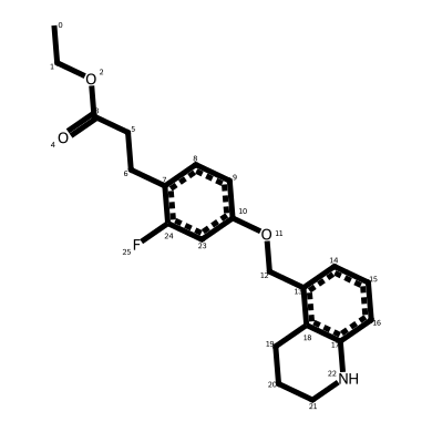 CCOC(=O)CCc1ccc(OCc2cccc3c2CCCN3)cc1F